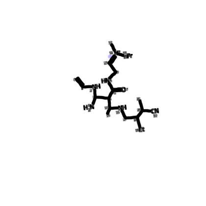 C=CNC(N)C(C(=O)NC/C=[N+](/C)CCC)C(C)NCC(CC)C(C)C#N